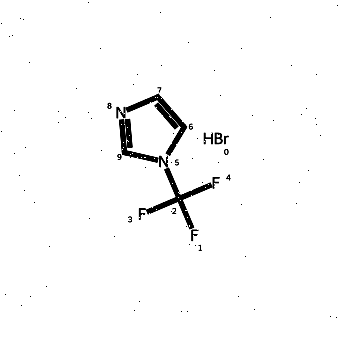 Br.FC(F)(F)n1ccnc1